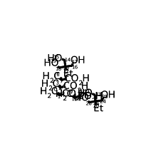 C=CC(=O)O.C=CC(=O)O.C=CC(=O)O.C=CC(=O)O.CCC(CO)(CO)CO.CCC(CO)(CO)CO